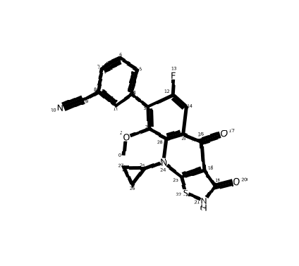 COc1c(-c2cccc(C#N)c2)c(F)cc2c(=O)c3c(=O)[nH]sc3n(C3CC3)c12